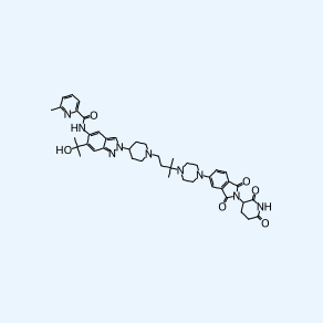 Cc1cccc(C(=O)Nc2cc3cn(C4CCN(CCC(C)(C)N5CCN(c6ccc7c(c6)C(=O)N(C6CCC(=O)NC6=O)C7=O)CC5)CC4)nc3cc2C(C)(C)O)n1